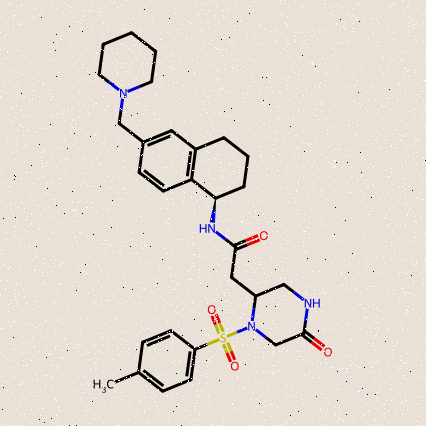 Cc1ccc(S(=O)(=O)N2CC(=O)NCC2CC(=O)N[C@@H]2CCCc3cc(CN4CCCCC4)ccc32)cc1